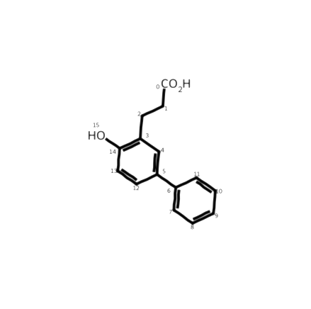 O=C(O)CCc1cc(-c2ccccc2)ccc1O